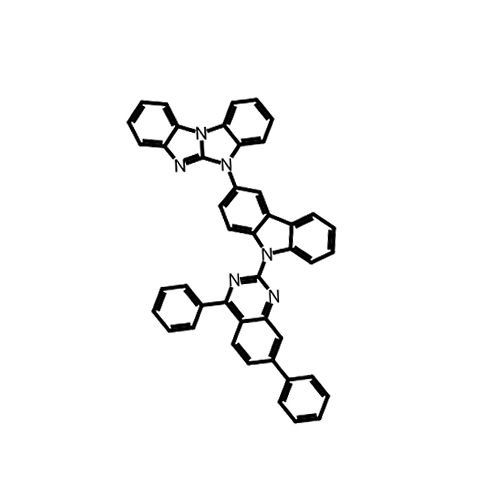 c1ccc(-c2ccc3c(-c4ccccc4)nc(-n4c5ccccc5c5cc(-n6c7ccccc7n7c8ccccc8nc67)ccc54)nc3c2)cc1